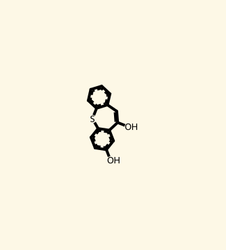 OC1=Cc2ccccc2Sc2ccc(O)cc21